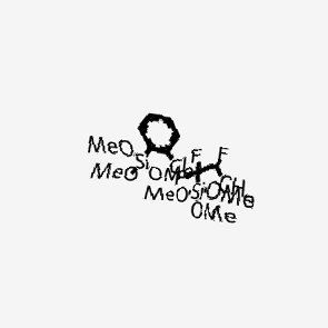 CO[Si](OC)(OC)C(F)(F)C(C)F.CO[Si](OC)(OC)c1ccccc1Cl